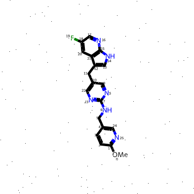 COc1ccc(CNc2ncc(Cc3c[nH]c4ncc(F)cc34)cn2)cn1